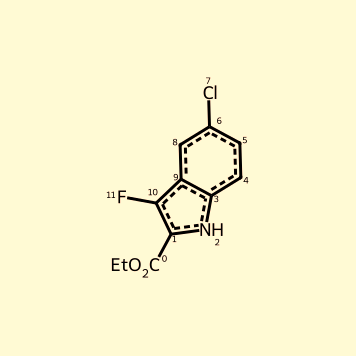 CCOC(=O)c1[nH]c2ccc(Cl)cc2c1F